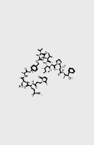 CC[C@H](C)[C@@H]([C@@H](CC(=O)N1CCC[C@H]1[C@H](OC)[C@@H](C)C(=O)N[C@H](C)[C@@H](O)c1ccccc1)OC)N(C)C(=O)[C@@H](NC(=O)[C@H](C(C)C)N(C)C(=O)OCc1ccc(NC(=O)[C@H](C)NC(=O)[C@H](CO)NC(=O)[C@H](CCC(N)=O)NC(=O)CCN2C(=O)C=CC2=O)cc1)C(C)C